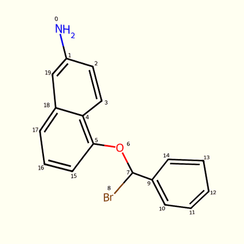 Nc1ccc2c(OC(Br)c3ccccc3)cccc2c1